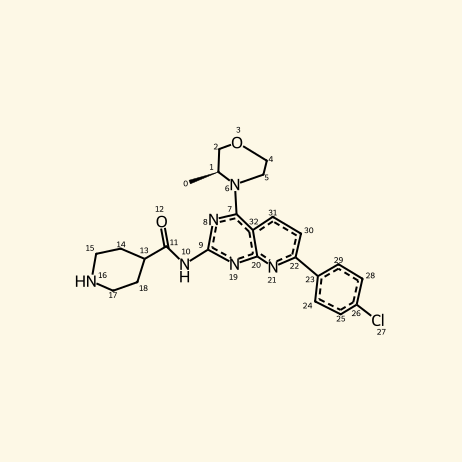 C[C@H]1COCCN1c1nc(NC(=O)C2CCNCC2)nc2nc(-c3ccc(Cl)cc3)ccc12